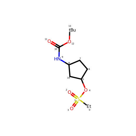 CCS(=O)(=O)OC1CCC(NC(=O)OC(C)(C)C)C1